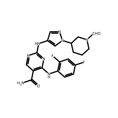 NC(=O)c1cnc(Nc2cnn(C3CCCN(C=O)C3)c2)nc1Nc1ccc(F)cc1F